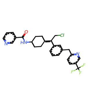 O=C(NC1CCC(=C(CCl)c2cccc(Cc3ccc(C(F)(F)F)cn3)c2)CC1)c1cccnc1